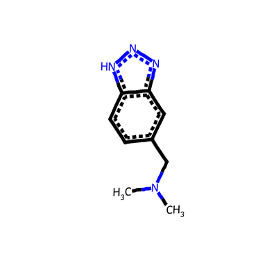 CN(C)Cc1ccc2[nH]nnc2c1